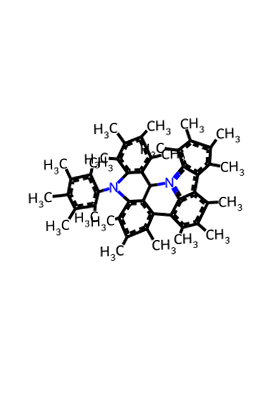 Cc1c(C)c(C)c(N2c3c(C)c(C)c(C)c(C)c3C3c4c(c(C)c(C)c(C)c42)-c2c(C)c(C)c(C)c4c5c(C)c(C)c(C)c(C)c5n3c24)c(C)c1C